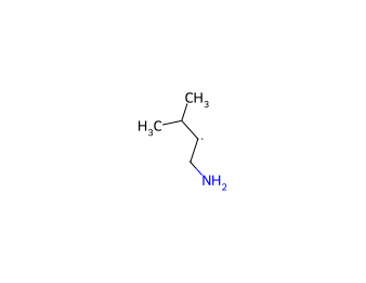 CC(C)[CH]CN